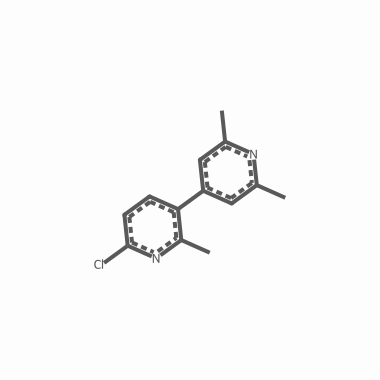 Cc1cc(-c2ccc(Cl)nc2C)cc(C)n1